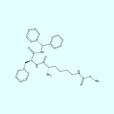 CC(C)(C)OC(=O)NCCCC[C@H](N)C(=O)N[C@@H](Cc1ccccc1)C(=O)NC(c1ccccc1)c1ccccc1